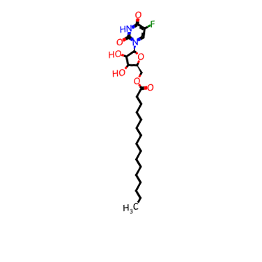 CCCCCCCCCCCCCCCC(=O)OC[C@@H]1O[C@H](n2cc(F)c(=O)[nH]c2=O)C(O)C1O